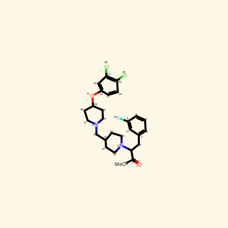 COC(=O)C(Cc1cccc(F)c1)N1CCC(CN2CCC(Oc3ccc(Cl)c(Cl)c3)CC2)CC1